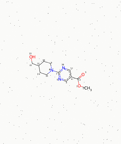 COC(=O)c1cnc(N2CCC(CO)CC2)nc1